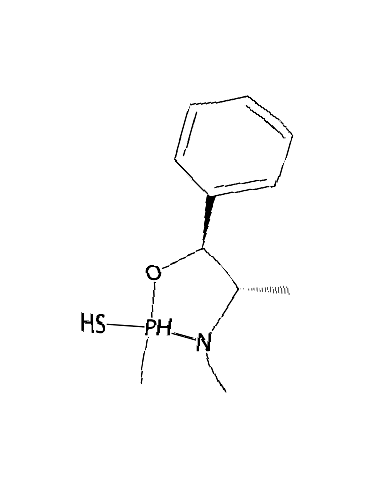 C[C@H]1[C@H](c2ccccc2)O[PH](C)(S)N1C